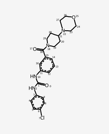 O=C(Nc1ccc(Cl)cc1)Nc1cccc(C(=O)N2CCC(N3CCOCC3)CC2)c1